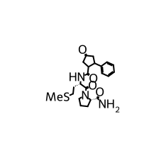 CSCC[C@H](NC(=O)C1CC(=O)CC1c1ccccc1)C(=O)N1CCC[C@H]1C(N)=O